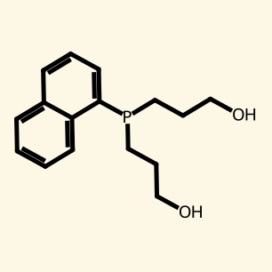 OCCCP(CCCO)c1cccc2ccccc12